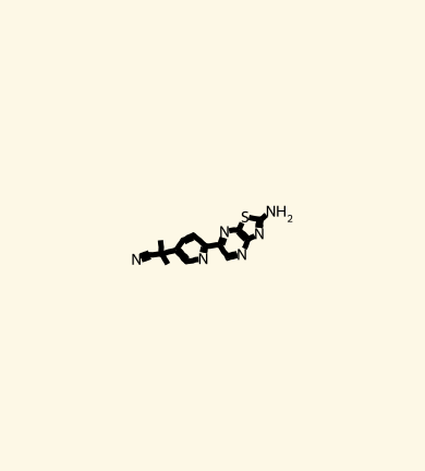 CC(C)(C#N)c1ccc(-c2cnc3nc(N)sc3n2)nc1